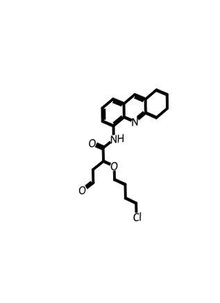 O=CCC(OCCCCCl)C(=O)Nc1cccc2cc3c(nc12)CCCC3